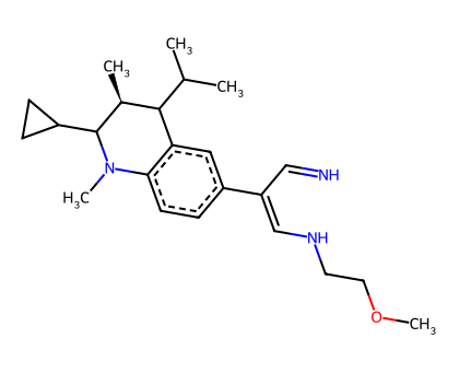 COCCN/C=C(\C=N)c1ccc2c(c1)C(C(C)C)[C@H](C)C(C1CC1)N2C